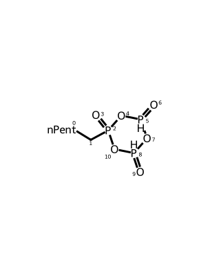 CCCCCCP1(=O)O[PH](=O)O[PH](=O)O1